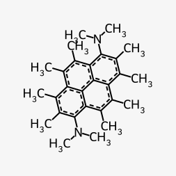 Cc1c(C)c2c(C)c(C)c3c(N(C)C)c(C)c(C)c4c(C)c(C)c(c1N(C)C)c2c43